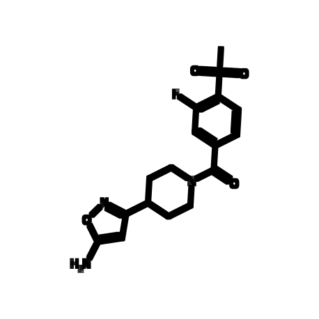 CS(=O)(=O)c1ccc(C(=O)N2CCC(c3cc(N)on3)CC2)cc1F